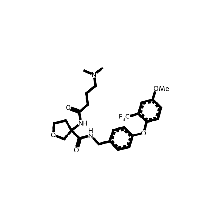 COc1ccc(Oc2ccc(CNC(=O)C3(NC(=O)CCCN(C)C)CCOC3)cc2)c(C(F)(F)F)c1